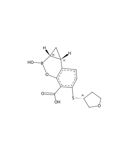 O=C(O)c1c(S[C@@H]2CCOC2)ccc2c1OB(O)[C@@H]1C[C@H]21